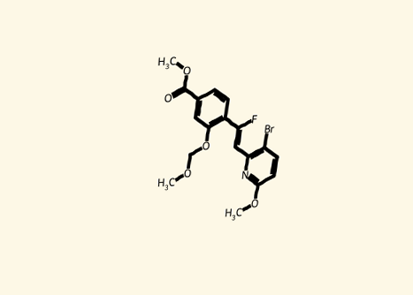 COCOc1cc(C(=O)OC)ccc1C(F)=Cc1nc(OC)ccc1Br